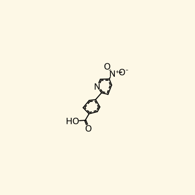 O=C(O)c1ccc(-c2ccc([N+](=O)[O-])cn2)cc1